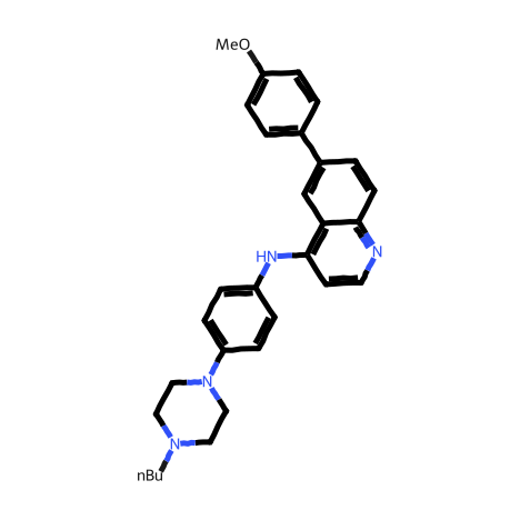 CCCCN1CCN(c2ccc(Nc3ccnc4ccc(-c5ccc(OC)cc5)cc34)cc2)CC1